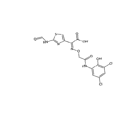 O=CNc1nc(C(=NOCC(=O)Nc2cc(Cl)cc(Cl)c2O)C(=O)O)cs1